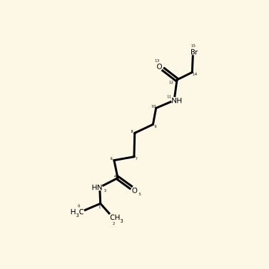 CC(C)NC(=O)CCCCCNC(=O)CBr